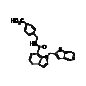 O=C(O)c1ccc(CNC(=O)c2cccc3ccn(Cc4cc5ccccc5s4)c23)cc1